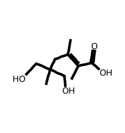 CC(CC(C)(CO)CO)=C(C)C(=O)O